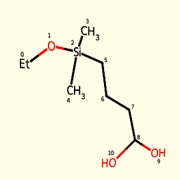 CCO[Si](C)(C)CCCC(O)O